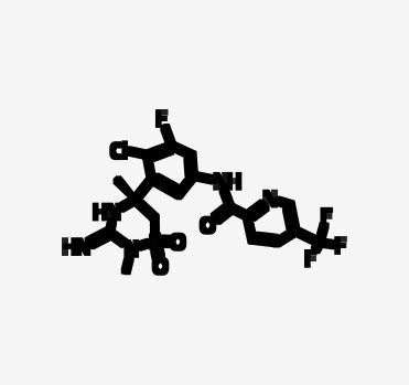 CN1C(=N)N[C@](C)(c2cc(NC(=O)c3ccc(C(F)(F)F)cn3)cc(F)c2Cl)CS1(=O)=O